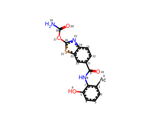 CC(=O)c1cccc(O)c1NC(=O)c1ccc2nc(OC(N)=O)sc2c1